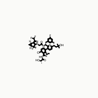 C[C@H](O)C(=O)Nc1nn(C)c2c(-c3ccc(CCC(C)(C)O)nc3[C@H](Cc3cc(F)cc(F)c3)NC(=O)Cn3nc(C(F)F)c4c3C(F)(F)[C@@H]3C[C@H]43)ccc(Cl)c12